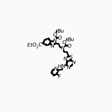 CCOC(=O)c1ccc2c(c1)nc(CCN(CCc1nc3c(NCc4ncccc4F)ncnc3s1)C(=O)OC(C)(C)C)n2C(=O)OC(C)(C)C